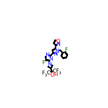 OC(C1CN(c2nc(-c3cc(-c4ccon4)n(Cc4ccccc4F)n3)ncc2F)C1)(C(F)(F)F)C(F)(F)F